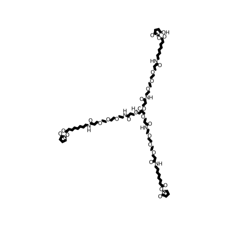 CC(COCCC(=O)NCCOCCOCCOCCC(=O)NCCCCCCCC(=O)ON1CCCC1=O)(COCCC(=O)NCCOCCOCCOCCC(=O)NCCCCCCCC(=O)ON1CCCC1=O)OCCC(=O)NCCOCCOCCOCCC(=O)NCCCCCCCC(=O)ON1C(=O)CCC1O